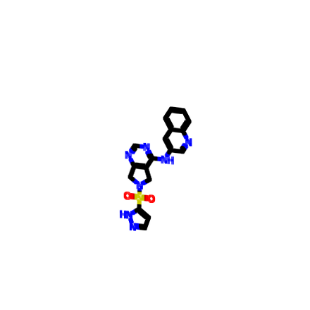 O=S(=O)(c1ccn[nH]1)N1Cc2ncnc(Nc3cnc4ccccc4c3)c2C1